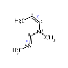 C/C=C\N(C)/C=N/C